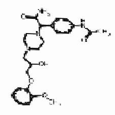 COc1ccccc1OCC(O)CN1CCN(C(C(N)=O)c2ccc(NC(C)=O)cc2)CC1